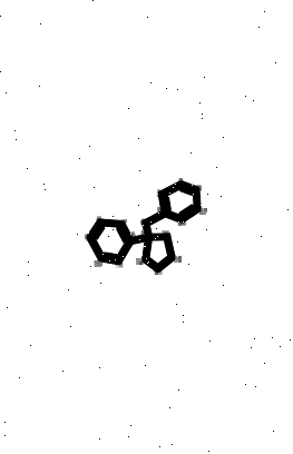 c1ccc(CC2(c3ccccc3)CCCC2)cc1